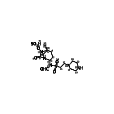 O=CN([C@H]1CC[C@@H]2CN1C(=O)N2OS(=O)(=O)O)S(=O)(=O)CCN1CCNCC1